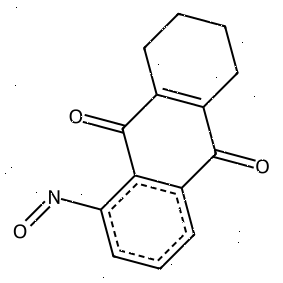 O=Nc1cccc2c1C(=O)C1=C(CCCC1)C2=O